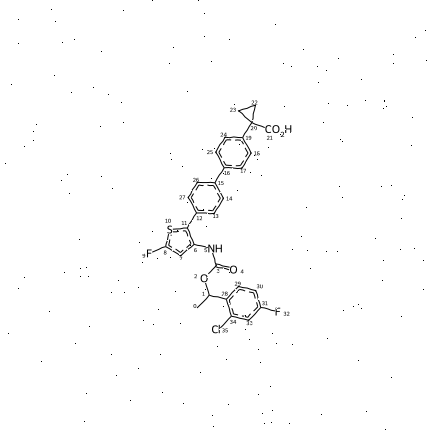 CC(OC(=O)Nc1cc(F)sc1-c1ccc(-c2ccc(C3(C(=O)O)CC3)cc2)cc1)c1ccc(F)cc1Cl